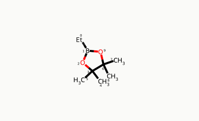 CCB1OC(C)(C)C(C)(C)O1